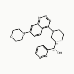 O[C@H](c1cccnn1)[C@H]1CCCN(c2nnnc3cc(N4CCOCC4)ccc23)C1